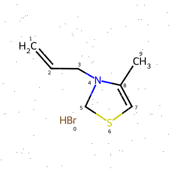 Br.C=CCN1CSC=C1C